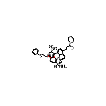 NS(=O)(=O)c1ccc(NCCSc2ccccc2)cc1N1C=CC=C2C(CCC(=O)N3CCCCC3)=CC=C(c3ccccc3[N+](=O)[O-])C21